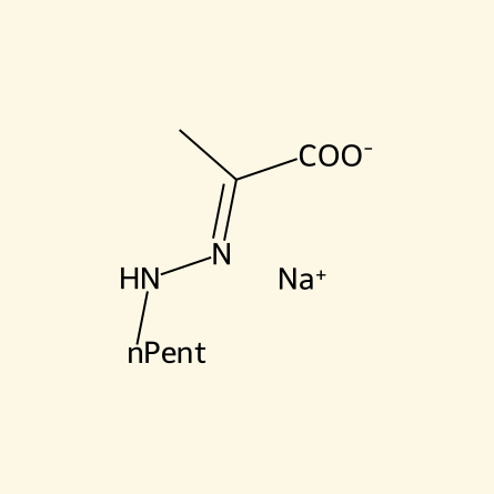 CCCCCNN=C(C)C(=O)[O-].[Na+]